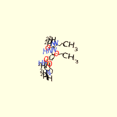 [2H]C([2H])(CC1CCCN1C([2H])([2H])[2H])NS(=O)(=O)c1ccc(OCCC)c(-c2nc3c(CCC)nn(C([2H])([2H])[2H])c3c(=O)[nH]2)c1